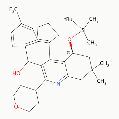 CC1(C)Cc2nc(C3CCOCC3)c(C(O)c3ccc(C(F)(F)F)cc3)c(C3=CCCC3)c2[C@@H](O[Si](C)(C)C(C)(C)C)C1